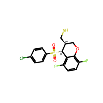 O=S(=O)(c1ccc(Cl)cc1)[C@H]1c2c(F)ccc(F)c2OC[C@@H]1CS